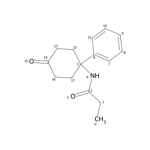 CCC(=O)NC1(c2ccccc2)CCC(=O)CC1